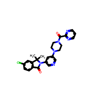 CC1(C)c2cc(Cl)ccc2C(=O)N1c1cncc(N2CCN(C(=O)c3ncccn3)CC2)c1